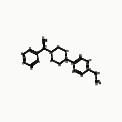 O[C@H](c1cccnc1)C1CCN(c2ccc(OC(F)(F)F)nn2)CC1